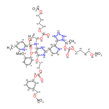 COc1ccccc1Oc1c(OCCOC(=O)Oc2cccc(CO[N+](=O)[O-])c2)nc(-c2ccnc(-c3nnnn3C(C)OC(=O)OCCCCO[N+](=O)[O-])c2)nc1N(C(C)OC(=O)OCCCCO[N+](=O)[O-])S(=O)(=O)c1ccc(C)cn1